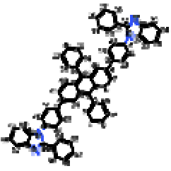 c1ccc(-c2c3ccc(-c4ccc(-n5c(-c6ccccc6)nc6ccccc65)cc4)cc3c(-c3ccccc3)c3ccc(-c4ccc(-n5c(-c6ccccc6)nc6ccccc65)cc4)cc23)cc1